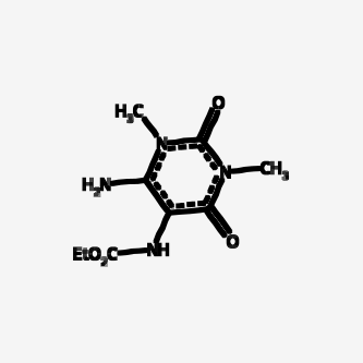 CCOC(=O)Nc1c(N)n(C)c(=O)n(C)c1=O